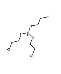 ClCCO[SiH](OCCCl)OCCCl